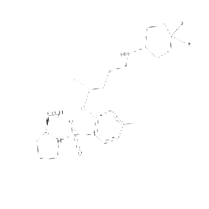 Cc1ccc(S(=O)(=O)N2CCC[C@H]2C(=O)O)c(O[C@H](C)CCCNC2CCC(F)(F)CC2)c1